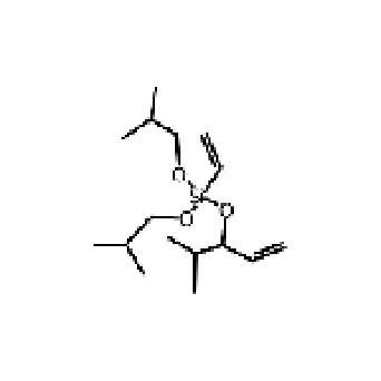 C=CC(O[Si](C=C)(OCC(C)C)OCC(C)C)C(C)C